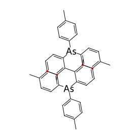 Cc1ccc([As](c2ccc(C)cc2)c2cccc(C)c2-c2c(C)cccc2[As](c2ccc(C)cc2)c2ccc(C)cc2)cc1